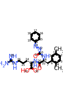 Cc1ccc(C)c(C[C@H](NC(=O)N=Nc2ccccc2)C(=O)N[C@@H](CCCNC(=N)N)C(=O)O)c1